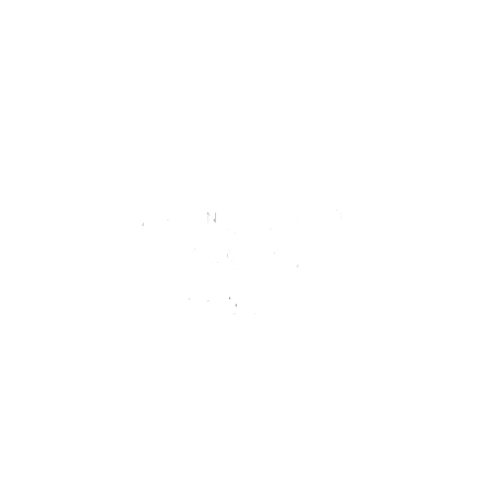 COc1cccc(CC(=O)N(C)C2CCCc3ccc(N)cc32)c1